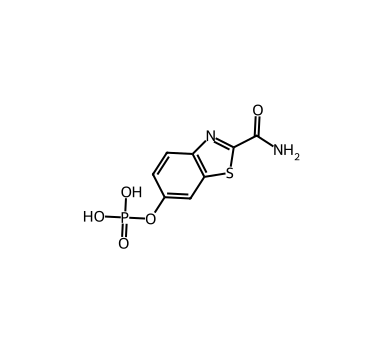 NC(=O)c1nc2ccc(OP(=O)(O)O)cc2s1